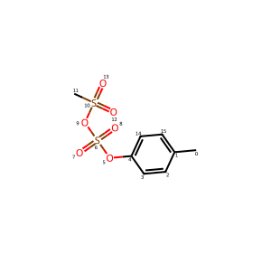 Cc1ccc(OS(=O)(=O)OS(C)(=O)=O)cc1